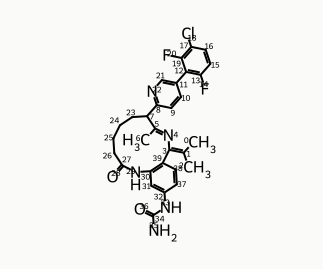 CC(C)=C1/N=C(\C)C(c2ccc(-c3c(F)ccc(Cl)c3F)cn2)CCCCC(=O)Nc2cc(NC(N)=O)ccc21